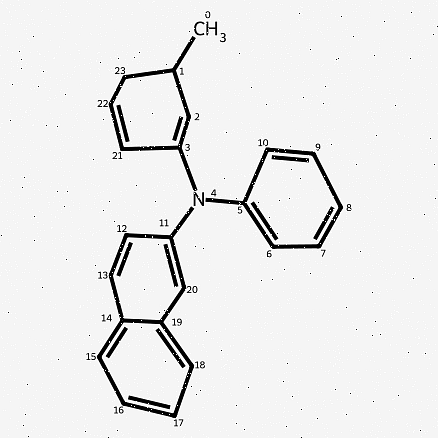 CC1C=C(N(c2ccccc2)c2ccc3ccccc3c2)C=CC1